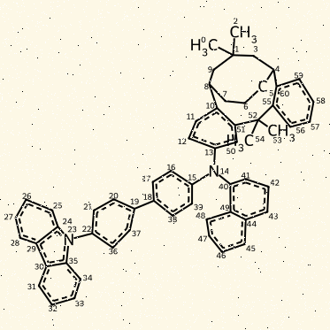 CC1(C)CC2CCCC(C1)c1ccc(N(c3ccc(-c4ccc(-n5c6ccccc6c6ccccc65)cc4)cc3)c3cccc4ccccc34)cc1C(C)(C)c1ccccc12